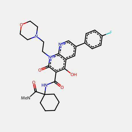 CNC(=O)C1(NC(=O)c2c(O)c3cc(-c4ccc(F)cc4)cnc3n(CCN3CCOCC3)c2=O)CCCCC1